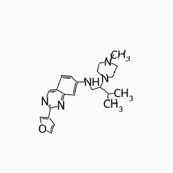 CC(C)C(CNc1ccc2cnc(-c3ccoc3)nc2c1)N1CCN(C)CC1